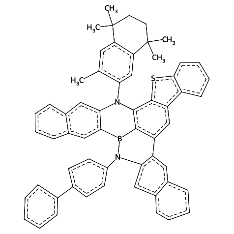 Cc1cc2c(cc1N1c3cc4ccccc4cc3B3c4c(cc5c(sc6ccccc65)c41)-c1cc4ccccc4cc1N3c1ccc(-c3ccccc3)cc1)C(C)(C)CCC2(C)C